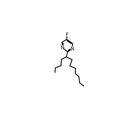 CCCCCCCC(CCCC)c1ncc(F)cn1